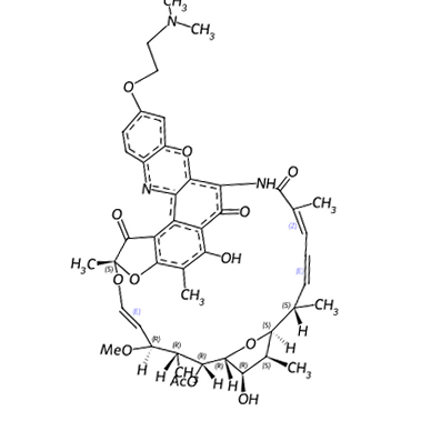 CO[C@H]1/C=C/O[C@@]2(C)Oc3c(C)c(O)c4c(=O)c(c5oc6cc(OCCN(C)C)ccc6nc-5c4c3C2=O)NC(=O)/C(C)=C\C=C\[C@H](C)[C@@H]2O[C@H]([C@H](O)[C@@H]2C)[C@H](OC(C)=O)[C@@H]1C